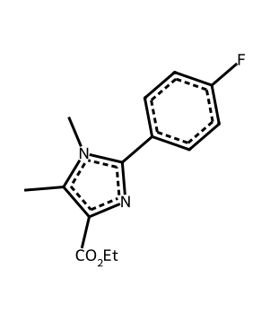 CCOC(=O)c1nc(-c2ccc(F)cc2)n(C)c1C